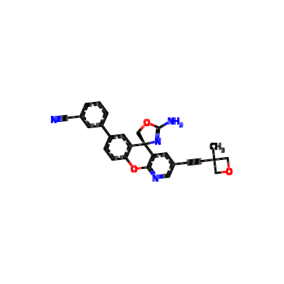 CC1(C#Cc2cnc3c(c2)[C@]2(COC(N)=N2)c2cc(-c4cccc(C#N)c4)ccc2O3)COC1